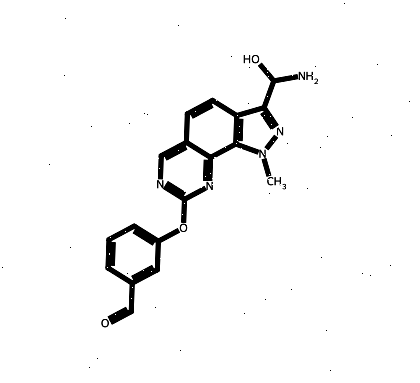 Cn1nc(C(N)O)c2ccc3cnc(Oc4cccc(C=O)c4)nc3c21